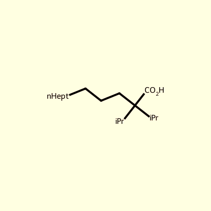 CCCCCCCCCCC(C(=O)O)(C(C)C)C(C)C